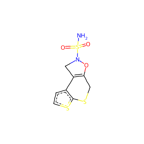 NS(=O)(=O)N1CC2=C(CSc3sccc32)O1